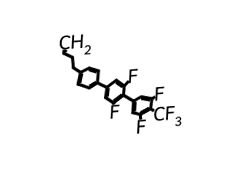 C=CCCc1ccc(-c2cc(F)c(-c3cc(F)c(C(F)(F)F)c(F)c3)c(F)c2)cc1